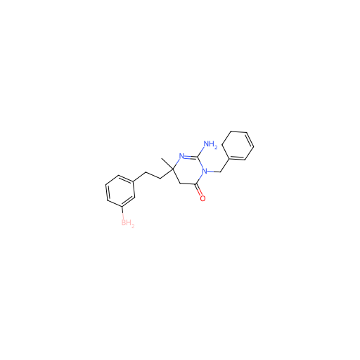 Bc1cccc(CCC2(C)CC(=O)N(CC3=CC=CCC3)C(N)=N2)c1